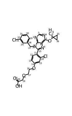 CC1(Oc2ncnc3c2nc(-c2ccc(OCCOCC(=O)O)cc2Cl)n3Cc2cccc(Cl)c2)CC1